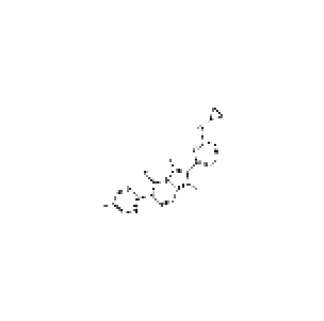 Cc1cnc(-n2ncc3c(C)c(-c4cccc(OC5CC5)c4)c(C)n3c2=O)nc1